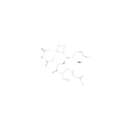 NC(=O)c1ccc2c(c1)C([C@H](c1ccc(Cl)cn1)C1CCC1)N(C1CCC(=O)NC1=O)C2=O